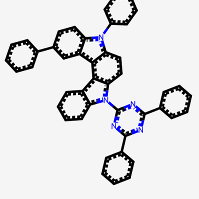 c1ccc(-c2ccc3c(c2)c2c4c5ccccc5n(-c5nc(-c6ccccc6)nc(-c6ccccc6)n5)c4ccc2n3-c2ccccc2)cc1